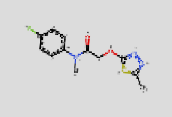 CCN(C(=O)COc1nnc(C(F)(F)F)s1)c1ccc(F)cc1